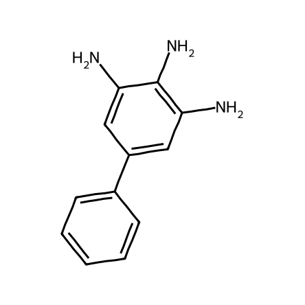 Nc1cc(-c2ccccc2)cc(N)c1N